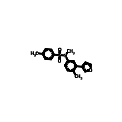 Cc1ccc(S(=O)(=O)N(C)c2ccc(C)c(-c3ccoc3)c2)cc1